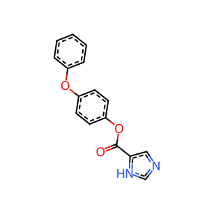 O=C(Oc1ccc(Oc2ccccc2)cc1)c1cnc[nH]1